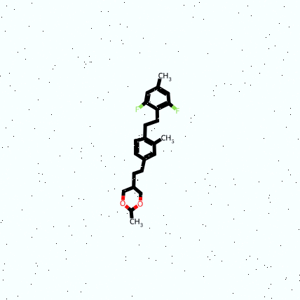 Cc1cc(F)c(CCc2ccc(CCC3COC(C)OC3)cc2C)c(F)c1